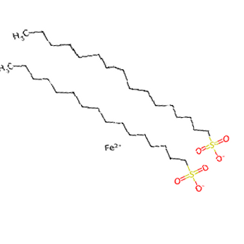 CCCCCCCCCCCCCCCCS(=O)(=O)[O-].CCCCCCCCCCCCCCCCS(=O)(=O)[O-].[Fe+2]